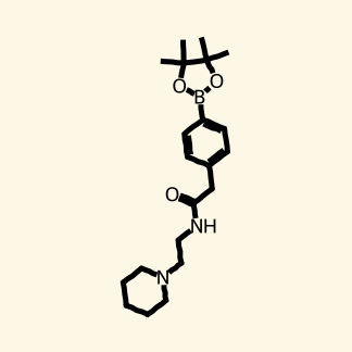 CC1(C)OB(c2ccc(CC(=O)NCCN3CCCCC3)cc2)OC1(C)C